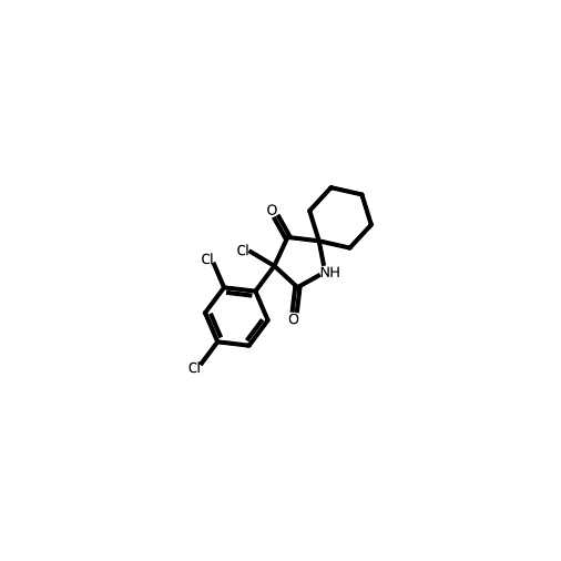 O=C1NC2(CCCCC2)C(=O)C1(Cl)c1ccc(Cl)cc1Cl